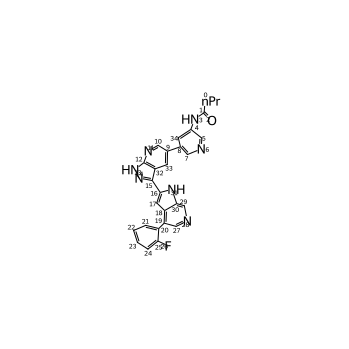 CCCC(=O)Nc1cncc(-c2cnc3[nH]nc(-c4cc5c(-c6ccccc6F)cncc5[nH]4)c3c2)c1